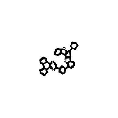 c1cc(-c2cnc3c4ccccc4c4ccccc4c3n2)cc(-c2cccc3c2oc2c3cc(C3CCCCC3)c3oc4ccccc4c32)c1